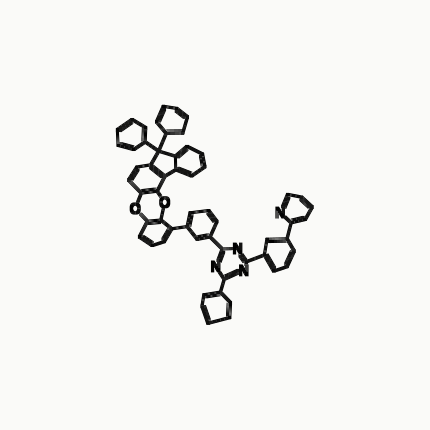 c1ccc(-c2nc(-c3cccc(-c4ccccn4)c3)nc(-c3cccc(-c4cccc5c4Oc4c(ccc6c4-c4ccccc4C6(c4ccccc4)c4ccccc4)O5)c3)n2)cc1